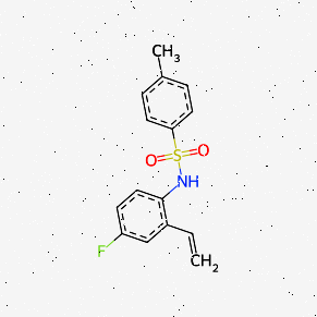 C=Cc1cc(F)ccc1NS(=O)(=O)c1ccc(C)cc1